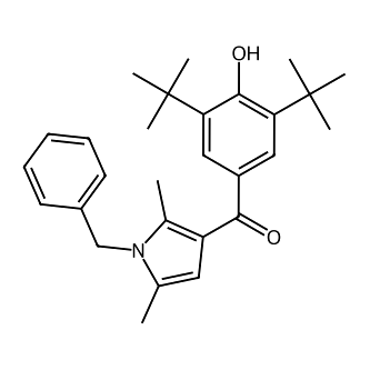 Cc1cc(C(=O)c2cc(C(C)(C)C)c(O)c(C(C)(C)C)c2)c(C)n1Cc1ccccc1